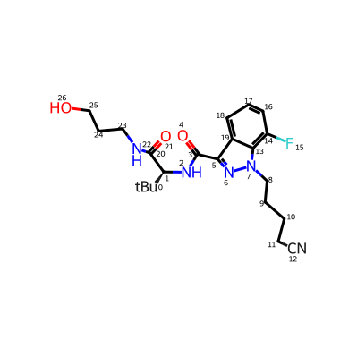 CC(C)(C)[C@H](NC(=O)c1nn(CCCCC#N)c2c(F)cccc12)C(=O)NCCCO